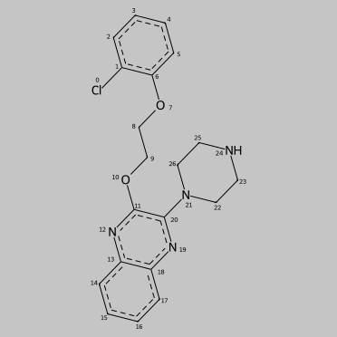 Clc1ccccc1OCCOc1nc2ccccc2nc1N1CCNCC1